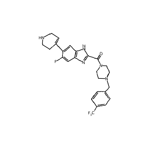 O=C(c1nc2cc(F)c(C3=CCNCC3)cc2[nH]1)N1CCN(Cc2ccc(C(F)(F)F)cc2)CC1